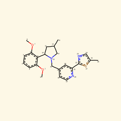 COc1cccc(OC)c1C1CC(C)CN1Cc1ccnc(-c2ncc(C)s2)c1